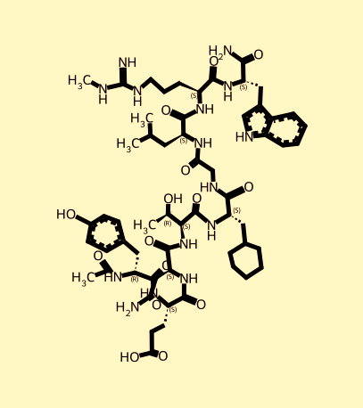 CNC(=N)NCCC[C@H](NC(=O)[C@H](CC(C)C)NC(=O)CNC(=O)[C@H](CC1CCCCC1)NC(=O)[C@@H](NC(=O)[C@H](CC(N)=O)NC(=O)[C@H](CCC(=O)O)NC(=O)[C@@H](Cc1ccc(O)cc1)NC(C)=O)[C@@H](C)O)C(=O)N[C@@H](Cc1c[nH]c2ccccc12)C(N)=O